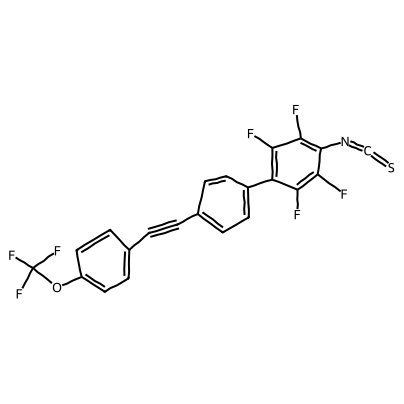 Fc1c(F)c(-c2ccc(C#Cc3ccc(OC(F)(F)F)cc3)cc2)c(F)c(F)c1N=C=S